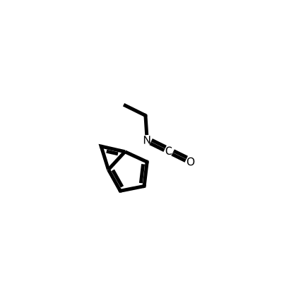 CCN=C=O.c1cc2cc-2c1